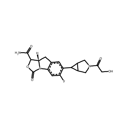 NC(=O)C1OC(=O)N2c3cc(F)c(C4C5CN(C(=O)CO)CC54)cc3C[C@@H]12